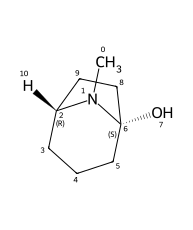 CN1[C@@H]2CCC[C@]1(O)CC2